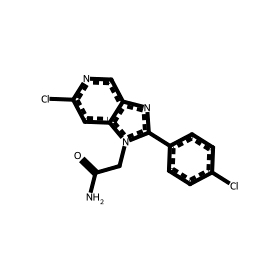 NC(=O)Cn1c(-c2ccc(Cl)cc2)nc2cnc(Cl)cc21